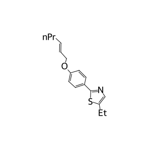 CCC/C=C/COc1ccc(-c2ncc(CC)s2)cc1